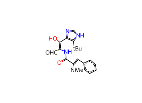 CN/C(=C\c1ccccc1)C(=O)N/C(C=O)=C(/O)c1nc[nH]c1C(C)(C)C